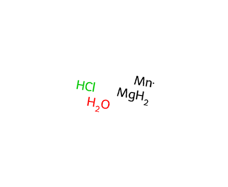 Cl.O.[MgH2].[Mn]